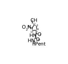 C#Cc1ccc(C(=O)NC(=O)NCCCCC)cc1[N+](=O)[O-]